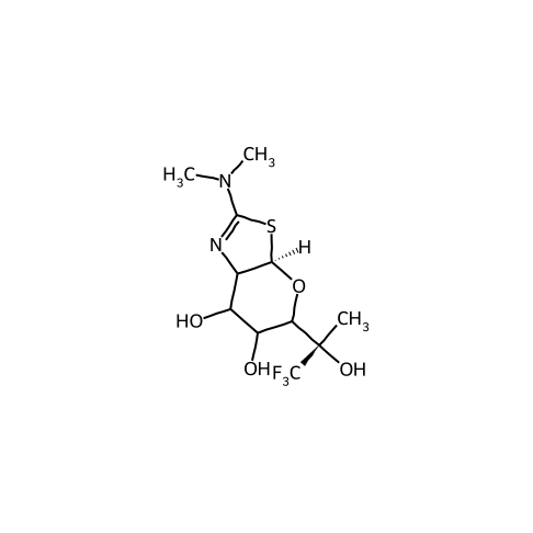 CN(C)C1=NC2C(O)C(O)C([C@](C)(O)C(F)(F)F)O[C@@H]2S1